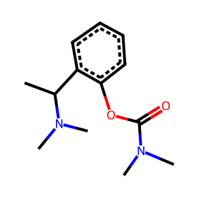 CC(c1ccccc1OC(=O)N(C)C)N(C)C